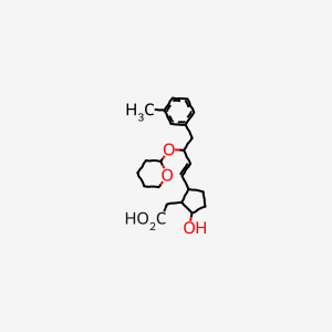 Cc1cccc(CC(C=CC2CCC(O)C2CC(=O)O)OC2CCCCO2)c1